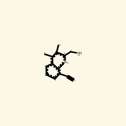 C#Cc1cccc2c(C)c(C)c(CO)nc12